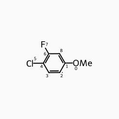 COc1[c]cc(Cl)c(F)c1